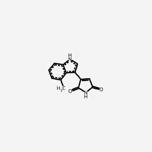 Cc1cccc2[nH]cc(C3=CC(=O)NC3=O)c12